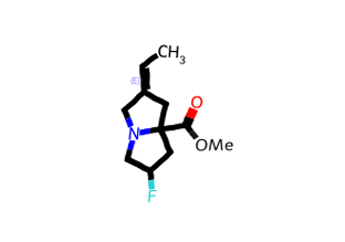 C/C=C1/CN2CC(F)CC2(C(=O)OC)C1